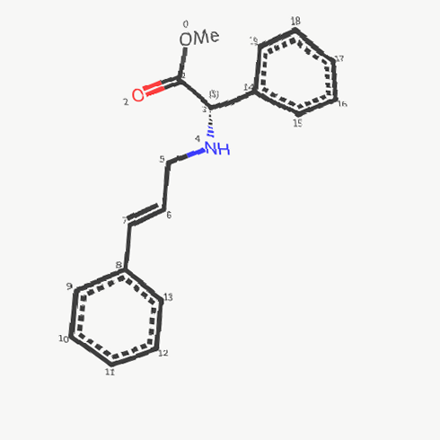 COC(=O)[C@@H](NCC=Cc1ccccc1)c1ccccc1